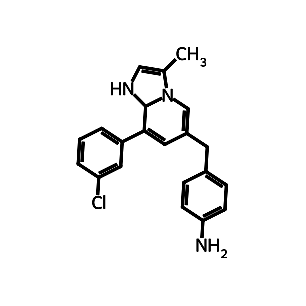 CC1=CNC2C(c3cccc(Cl)c3)=CC(Cc3ccc(N)cc3)=CN12